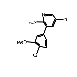 COc1cc(-c2cc(Cl)cnc2N)ccc1Cl